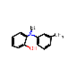 CCN(c1cccc(C)c1)c1ccccc1O